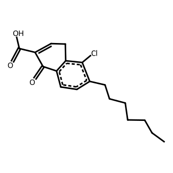 CCCCCCCc1ccc2c(c1Cl)CC=C(C(=O)O)C2=O